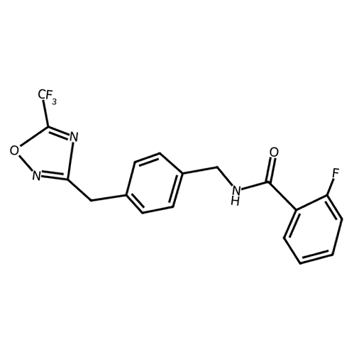 O=C(NCc1ccc(Cc2noc(C(F)(F)F)n2)cc1)c1ccccc1F